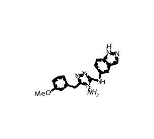 COc1cccc(Cc2nnc(Nc3ccc4[nH]ncc4c3)n2N)c1